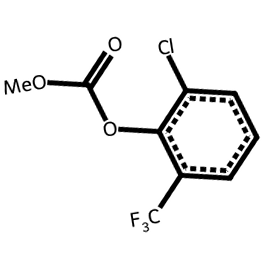 COC(=O)Oc1c(Cl)cccc1C(F)(F)F